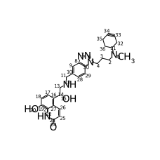 CN(CCCn1nnc2cc(CNC[C@H](O)c3ccc(O)c4[nH]c(=O)ccc34)ccc21)C1CC#CCC1